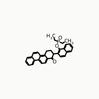 CCP(=O)(CC)Oc1c(C2CCc3c(ccc4c3ccc3ccccc34)C2=O)ccc2ccccc12